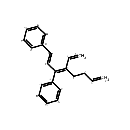 C=CCCC(C=C)=C(C=Cc1ccccc1)c1ccccc1